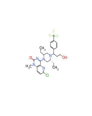 CCC1CN(C(CCO)c2ccc(C(F)(F)F)cc2)[C@H](CC)CN1c1nc(=O)n(C)c2ccc(Cl)nc12